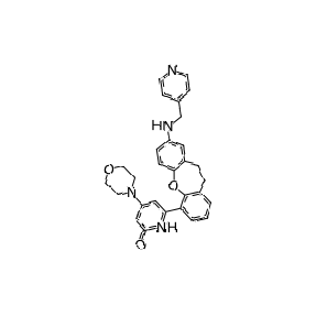 O=c1cc(N2CCOCC2)cc(-c2cccc3c2Oc2ccc(NCc4ccncc4)cc2CC3)[nH]1